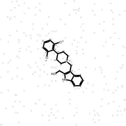 OCc1[nH]c2ccccc2c1CN1CCC(c2c(Cl)cccc2Cl)CC1